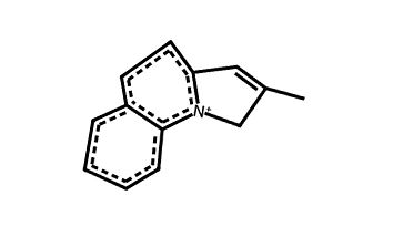 CC1=Cc2ccc3ccccc3[n+]2C1